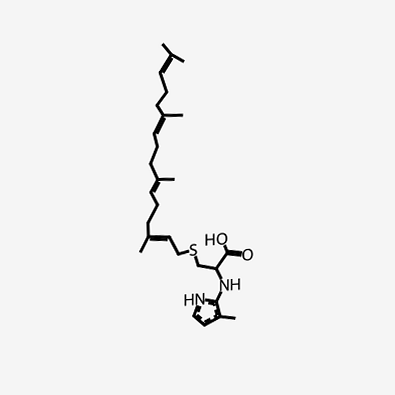 CC(C)=CCC/C(C)=C/CC/C(C)=C/CC/C(C)=C/CSCC(Nc1[nH]ccc1C)C(=O)O